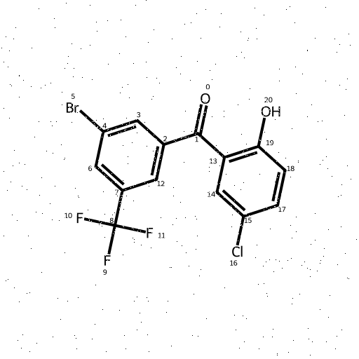 O=C(c1cc(Br)cc(C(F)(F)F)c1)c1cc(Cl)ccc1O